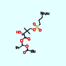 CC(=O)NCCCS(=O)(=O)OCC(C)(C)[C@@H](O)C(=O)OC(OC(=O)C(C)(C)C)C(C)C